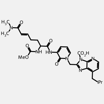 COC(=O)NC(CCC=CC(=O)N(C)C)C(=O)Nc1cccn(Cc2nc3c(CC(C)C)ccnc3n2C(=O)O)c1=O